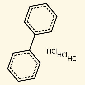 Cl.Cl.Cl.c1ccc(-c2ccccc2)cc1